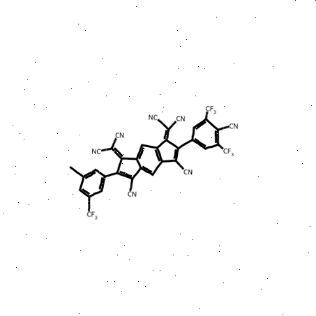 Cc1cc(C2=C(C#N)c3cc4c(cc3C2=C(C#N)C#N)C(=C(C#N)C#N)C(c2cc(C(F)(F)F)c(C#N)c(C(F)(F)F)c2)=C4C#N)cc(C(F)(F)F)c1